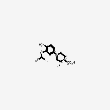 C[C@@H]1CN(c2ccc(N)c(OC(F)F)c2)CCN1C(=O)O